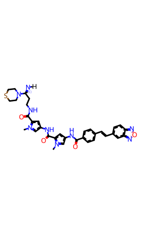 [H]/N=C(\CCNC(=O)c1cc(NC(=O)c2cc(NC(=O)c3ccc(C=Cc4ccc5nonc5c4)cc3)cn2C)cn1C)N1CCSCC1